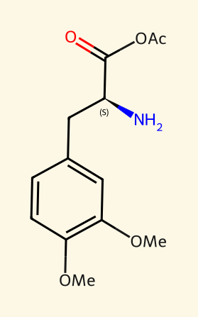 COc1ccc(C[C@H](N)C(=O)OC(C)=O)cc1OC